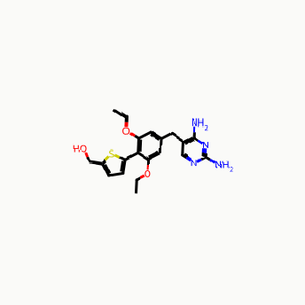 CCOc1cc(Cc2cnc(N)nc2N)cc(OCC)c1-c1ccc(CO)s1